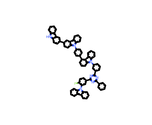 Fc1ccc(-c2nc(-c3ccccc3)nc(-c3cccc(-n4c5ccccc5c5c(-c6ccc(-n7c8ccccc8c8cc(-c9ccc%10[nH]c%11ccccc%11c%10c9)ccc87)cc6)cccc54)c3)n2)cc1-n1c2ccccc2c2ccccc21